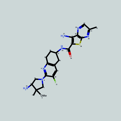 COC1(C)CN(c2nc3c(cc2F)CC(NC(=O)c2sc4nc(C)cnc4c2N)CC3)CC1N